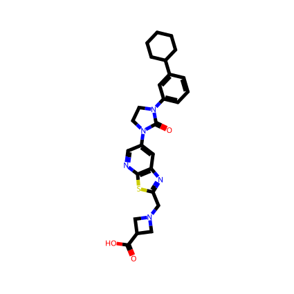 O=C(O)C1CN(Cc2nc3cc(N4CCN(c5cccc(C6CCCCC6)c5)C4=O)cnc3s2)C1